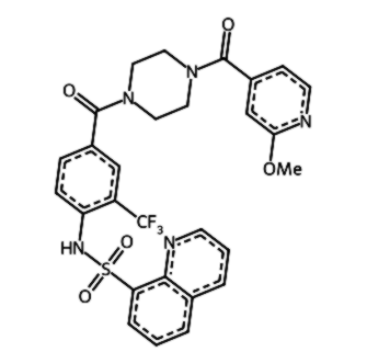 COc1cc(C(=O)N2CCN(C(=O)c3ccc(NS(=O)(=O)c4cccc5cccnc45)c(C(F)(F)F)c3)CC2)ccn1